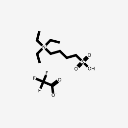 CC[N+](CC)(CC)CCCCS(=O)(=O)O.O=C([O-])C(F)(F)F